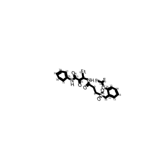 CCC(NC(=O)CCS(=O)(=O)Cc1ccccc1OC(F)F)C(=O)C(=O)Nc1ccccc1